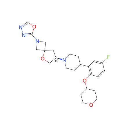 Fc1ccc(OC2CCOCC2)c(C2CCN([C@H]3COC4(C3)CN(c3nnco3)C4)CC2)c1